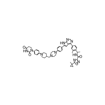 Cc1cc(-c2ncnc3[nH]c(-c4ccc(N5CCN(CC6CCN(c7ccc(N8CCC(=O)NC8=O)cc7)CC6)CC5)cc4)cc23)ccc1C(C)NC(=O)c1noc(C2(C)CC2)n1